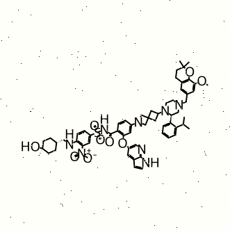 COc1cc(CN2CCN(C3CC4(C3)CN(c3ccc(C(=O)NS(=O)(=O)c5ccc(NC[C@H]6CC[C@](C)(O)CC6)c([N+](=O)[O-])c5)c(Oc5cnc6[nH]ccc6c5)c3)C4)[C@H](c3ccccc3C(C)C)C2)cc2c1OC(C)(C)CC2